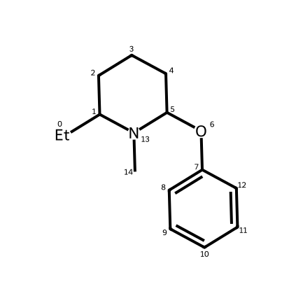 CCC1CCCC(Oc2ccccc2)N1C